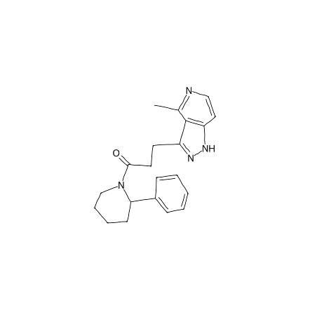 Cc1nccc2[nH]nc(CCC(=O)N3CCCCC3c3ccccc3)c12